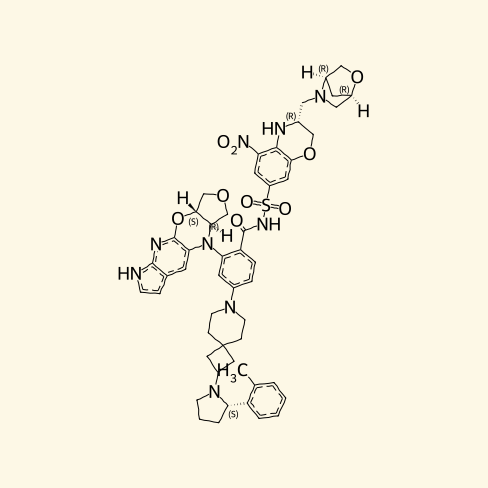 Cc1ccccc1[C@@H]1CCCN1C1CC2(CCN(c3ccc(C(=O)NS(=O)(=O)c4cc5c(c([N+](=O)[O-])c4)N[C@H](CN4C[C@H]6C[C@@H]4CO6)CO5)c(N4c5cc6cc[nH]c6nc5O[C@@H]5COC[C@H]54)c3)CC2)C1